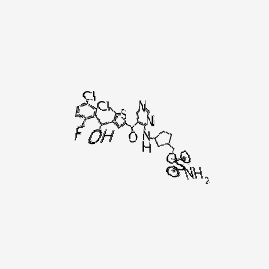 NS(=O)(=O)OCC1CC[C@H](Nc2ncncc2C(=O)c2cc(C(O)c3cc(Cl)ccc3F)c(Cl)s2)C1